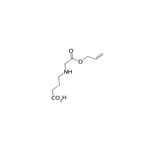 C=CCOC(=O)CNCCCC(=O)O